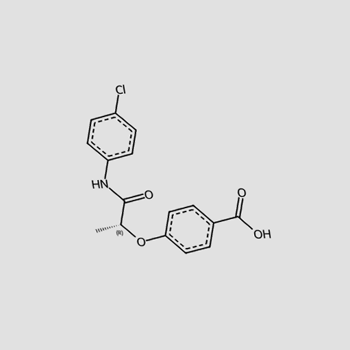 C[C@@H](Oc1ccc(C(=O)O)cc1)C(=O)Nc1ccc(Cl)cc1